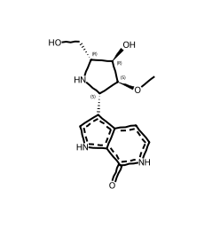 CO[C@@H]1[C@H](O)[C@@H](CO)N[C@H]1c1c[nH]c2c(=O)[nH]ccc12